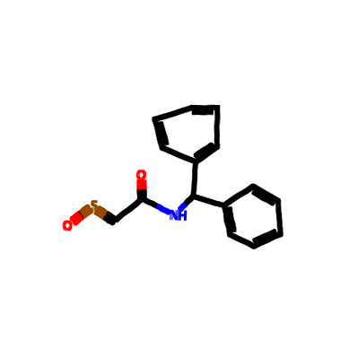 O=S=CC(=O)NC(c1ccccc1)c1ccccc1